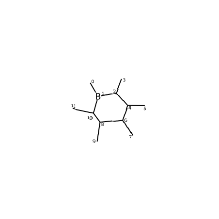 CB1C(C)C(C)C(C)C(C)C1C